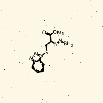 BN=NC(CSn1nnc2ccccc21)C(=O)OC